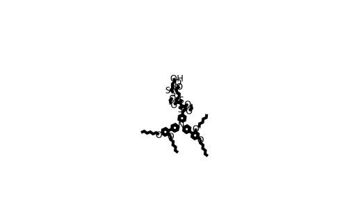 CCCCCCOc1ccc(-c2ccc(N(c3ccc(-c4ccc(OCCCCCC)cc4OCCCCCC)cc3)c3ccc(-c4sc(-c5sc(/C=C6\SC(=S)N(CC(=O)O)C6=O)c6c5OCCO6)c5c4OCCO5)cc3)cc2)c(OCCCCCC)c1